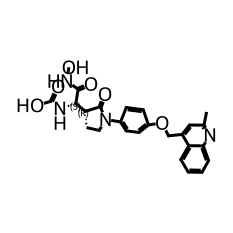 Cc1cc(COc2ccc(N3CC[C@H]([C@H](NC(=O)O)C(=O)NO)C3=O)cc2)c2ccccc2n1